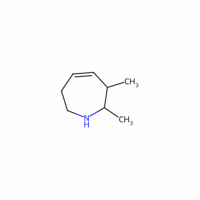 CC1C=CCCNC1C